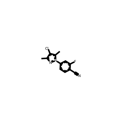 Cc1nn(-c2ccc(C#N)c(F)c2)c(C)c1Cl